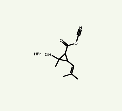 Br.CC(C)=CC1C(C(=O)OC#N)C1(C)C.Cl